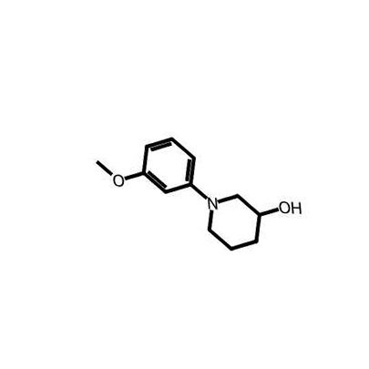 COc1cccc(N2CCCC(O)C2)c1